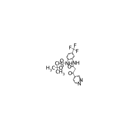 CC(C)(C)OC(=O)Nc1ccc(C(F)(F)F)cc1NC(=O)CC(=O)c1ccnnc1